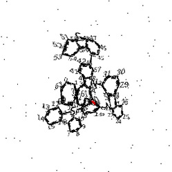 c1ccc([Si](c2ccccc2)(c2ccccc2)c2ccc(-n3c4ccccc4c4cccc(-n5c6ccccc6c6ccc(-c7cccc8sc9ccccc9c78)cc65)c43)cc2)cc1